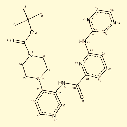 CC(C)(C)OC(=O)N1CCN(c2ccncc2NC(=O)c2cccc(Nc3cnccn3)n2)CC1